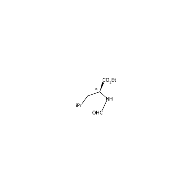 CCOC(=O)[C@H](CC(C)C)NC=O